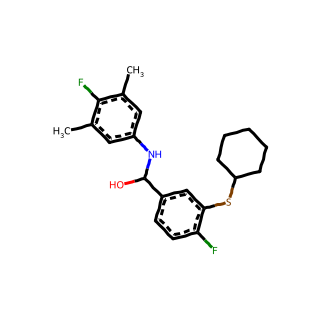 Cc1cc(NC(O)c2ccc(F)c(SC3CCCCC3)c2)cc(C)c1F